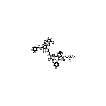 CSCC[C@H](NC=O)C(=O)N[C@@H](CC(C)C)C(=O)N[C@@H](Cc1ccccc1)C(=O)NCCCC[C@H](NC(=O)OCc1ccccc1)C(=O)ON1C(=O)CCC1=O